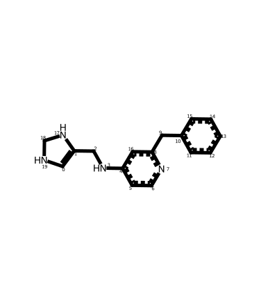 C1=C(CNc2ccnc(Cc3ccccc3)c2)NCN1